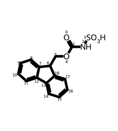 O=C(NS(=O)(=O)O)OCC1c2ccccc2-c2ccccc21